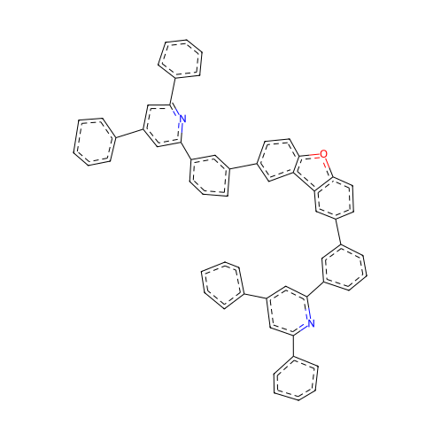 c1ccc(-c2cc(-c3ccccc3)nc(-c3cccc(-c4ccc5oc6ccc(-c7cccc(-c8cc(-c9ccccc9)cc(-c9ccccc9)n8)c7)cc6c5c4)c3)c2)cc1